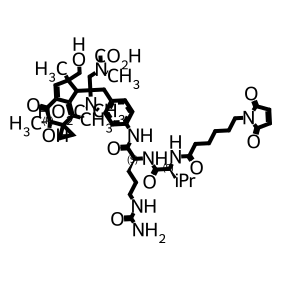 CC1=C2C(=CC(C)(CO)C2C(Cc2ccc(NC(=O)[C@H](CCCNC(N)=O)NC(=O)[C@@H](NC(=O)CCCCCN3C(=O)C=CC3=O)C(C)C)cc2)(CN(C)C(=O)O)N(C)C(=O)O)C(=O)[C@](C)(O)C12CC2